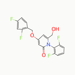 O=c1cc(OCc2ccc(F)cc2F)cc(CO)n1-c1c(F)cccc1F